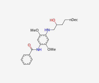 CCCCCCCCCCCCC(O)CNc1cc(OC)c(NC(=O)c2ccccc2)cc1OC